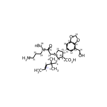 C/C=C/C(C)(C)C[C@H]1[C@H](C(=O)O)[C@@H](c2cc(CO)c3c(c2)OCO3)CN1CC(=O)N(CCCC)CCCN